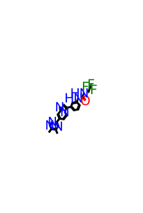 Cc1nnc(-c2ccn3c(-c4cccc(NC(=O)NCC(F)(F)F)c4)cnc3c2)nc1C